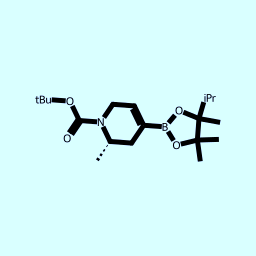 CC(C)C1(C)OB(C2=CCN(C(=O)OC(C)(C)C)[C@@H](C)C2)OC1(C)C